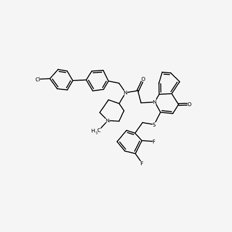 CN1CCC(N(Cc2ccc(-c3ccc(Cl)cc3)cc2)C(=O)Cn2c(SCc3cccc(F)c3F)cc(=O)c3ccccc32)CC1